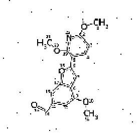 COc1ccc(-c2cc3c(OC)cc(C=O)cc3o2)c(OC)n1